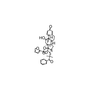 C[C@@H]1C[C@H]2[C@@H]3CCC4=CC(=O)C=C[C@]4(C)[C@@]3(F)[C@@H](O)C[C@]2(C)[C@@]1(OC(=O)c1ccco1)C(=O)SC(C)(C)C(=O)c1ccccc1